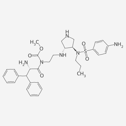 CCCN([C@@H]1CNC[C@H]1NCCN(C(=O)OC)C(=O)[C@@H](N)C(c1ccccc1)c1ccccc1)S(=O)(=O)c1ccc(N)cc1